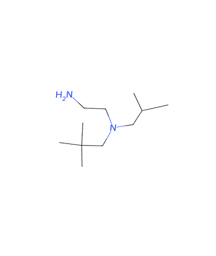 CC(C)CN(CCN)CC(C)(C)C